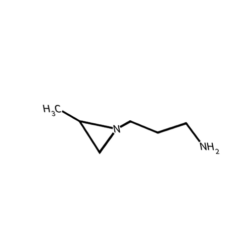 CC1CN1CCCN